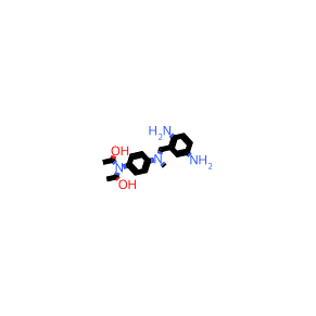 CC(O)N(c1ccc(N(C)Cc2cc(N)ccc2N)cc1)C(C)O